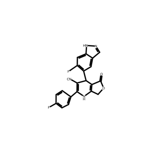 [C-]#[N+]C1=C(c2ccc(F)cc2)NC2=C(C(=O)OC2)C1c1cc2cn[nH]c2cc1F